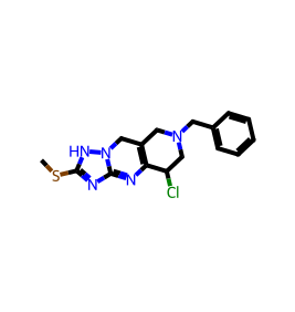 CSC1=NC2=NC3=C(CN(Cc4ccccc4)CC3Cl)CN2N1